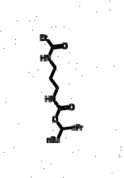 CCCCC(CCC)OC(=O)NCCCNC(=O)CC